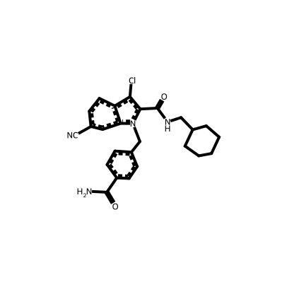 N#Cc1ccc2c(Cl)c(C(=O)NCC3CCCCC3)n(Cc3ccc(C(N)=O)cc3)c2c1